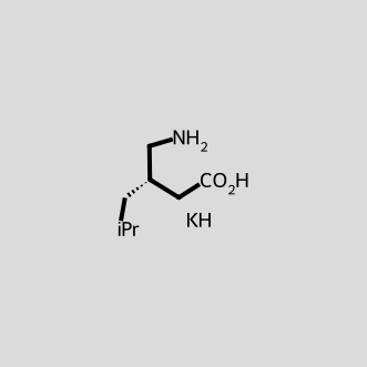 CC(C)C[C@H](CN)CC(=O)O.[KH]